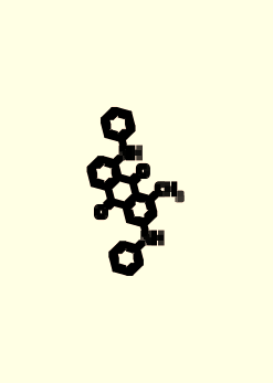 Cc1cc(Nc2ccccc2)cc2c1C(=O)c1c(Nc3ccccc3)cccc1C2=O